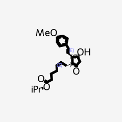 COc1ccc(/C=C/[C@H]2[C@H](O)CC(=O)[C@@H]2C/C=C\CCCC(=O)OC(C)C)cc1